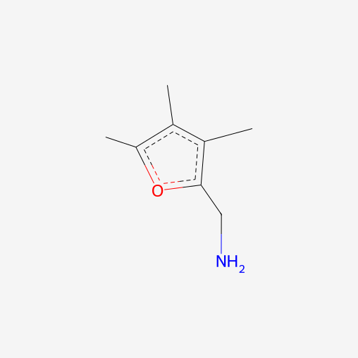 Cc1oc(CN)c(C)c1C